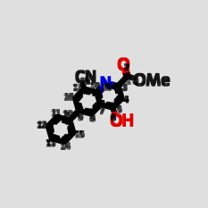 COC(=O)c1cc(O)c2cc(-c3ccccc3)cc(C#N)c2n1